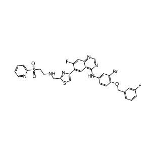 O=S(=O)(CCNCc1nc(-c2cc3c(Nc4ccc(OCc5cccc(F)c5)c(Br)c4)ncnc3cc2F)cs1)c1ccccn1